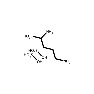 NCCCC(N)C(=O)O.O=S(=O)(O)O.O=S(=O)(O)O